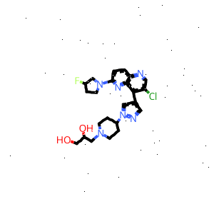 OCC(O)CN1CCC(n2cc(-c3c(Cl)cnc4ccc(N5CCC(F)C5)nc34)cn2)CC1